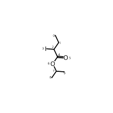 CCC(I)C(=O)OC(C)C